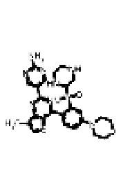 Cc1csc2c(-c3ccc(N4CCOCC4)cc3S(=O)(=O)C3CNCCN3)nc(-c3cnc(N)nc3)nc12